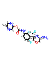 Cc1cnc(OC(=O)Nc2ccc(F)c([C@]3(C(F)F)COCC(N)=N3)c2)cn1